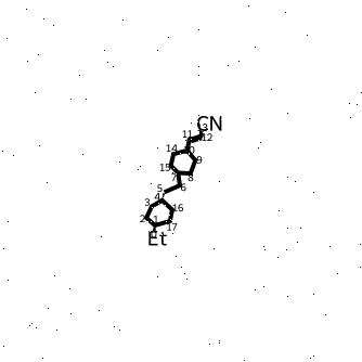 CC[C@H]1CC[C@H](CCC2CCC(C=CC#N)CC2)CC1